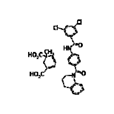 CC1(C(=O)O)C=CC=C(C(=O)O)C1.O=C(Nc1ccc(C(=O)N2CCCc3ccccc32)cc1)c1cc(Cl)cc(Cl)c1